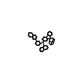 c1cc(-c2ccc3ccccc3c2)cc(N(c2ccc3c(c2)C2(c4ccccc4-3)C3CC4CC(C3)CC2C4)c2cccc3ccccc23)c1